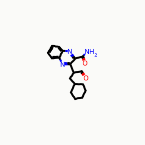 NC(=O)c1nc2ccccc2nc1C(C=O)CC1CCCCC1